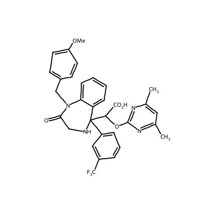 COc1ccc(CN2C(=O)CNC(c3cccc(C(F)(F)F)c3)(C(Oc3nc(C)cc(C)n3)C(=O)O)c3ccccc32)cc1